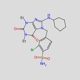 CCn1c(=O)c2c(nc(NC3CCCCC3)n2Cc2ccc(S(N)(=O)=O)c(Br)c2)n(CC)c1=O